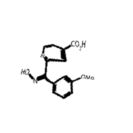 COc1cccc(/C(=N/O)c2cc(C(=O)O)ccn2)c1